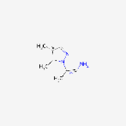 C/C(=C/N)N1N=C[C@@H](C)C1C